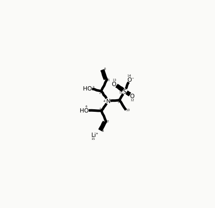 C=CC(O)N(C(O)C=C)C(C)S(=O)(=O)[O-].[Li+]